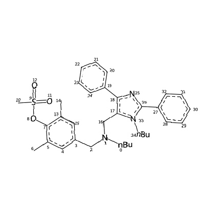 CCCCN(Cc1cc(C)c(OS(C)(=O)=O)c(C)c1)Cc1c(-c2ccccc2)nc(-c2ccccc2)n1CCCC